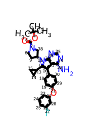 CC(C)(C)OC(=O)N1CC[C@@H](n2c(C3CC3)c(-c3ccc(Oc4cccc(F)c4)cc3)c3c(N)ncnc32)C1